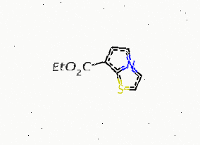 CCOC(=O)c1ccn2ccsc12